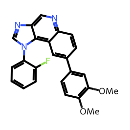 COc1ccc(-c2ccc3ncc4ncn(-c5ccccc5F)c4c3c2)cc1OC